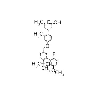 C/C=C/[C@H](CC(=O)O)c1ccc(OCc2ccc(C(C)(C)C)c(-c3cc(OC)ccc3F)c2)cc1C